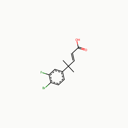 CC(C)(/C=C/C(=O)O)c1ccc(Br)c(F)c1